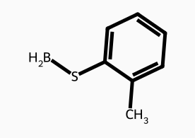 BSc1ccccc1C